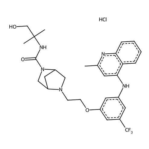 Cc1cc(Nc2cc(OCCN3CC4CC3CN4C(=O)NC(C)(C)CO)cc(C(F)(F)F)c2)c2ccccc2n1.Cl